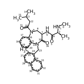 CN[C@@H](C)C(=O)NC1CN(C(=O)CC(C)C)c2ccccc2N(Cc2c(C)ccc3ccccc23)C1=O